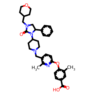 Cc1cc(C(=O)O)ccc1Oc1ccc(CN2CCC(N3C(=O)N(CC4CCOCC4)CC3c3ccccc3)CC2)c(C)n1